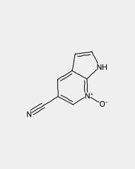 N#Cc1cc2cc[nH]c2[n+]([O-])c1